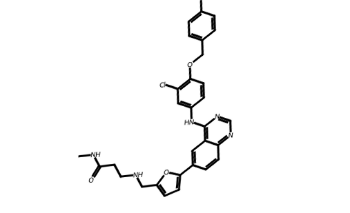 CNC(=O)CCNCc1ccc(-c2ccc3ncnc(Nc4ccc(OCc5ccc(F)cc5)c(Cl)c4)c3c2)o1